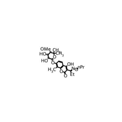 CCCON=C(CC)c1c(O)c2ccc(O[C@@H]3OC(C)(C)[C@H](OC)[C@H](O)[C@H]3O)c(C)c2oc1=O